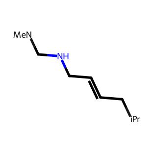 CNCNC/C=C/CC(C)C